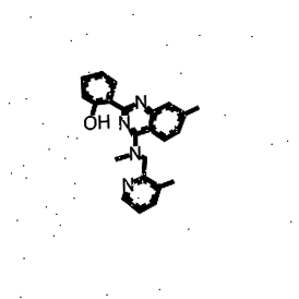 Cc1ccc2c(N(C)Cc3ncccc3C)nc(-c3ccccc3O)nc2c1